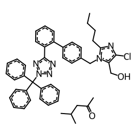 CC(=O)CC(C)C.CCCCc1nc(Cl)c(CO)n1Cc1ccc(-c2ccccc2-c2nnn(C(c3ccccc3)(c3ccccc3)c3ccccc3)n2)cc1